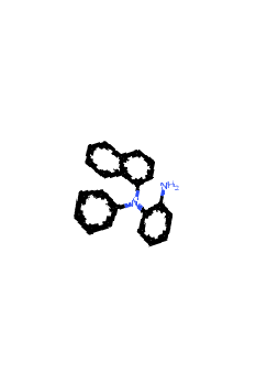 Nc1ccccc1N(c1ccccc1)c1cccc2ccccc12